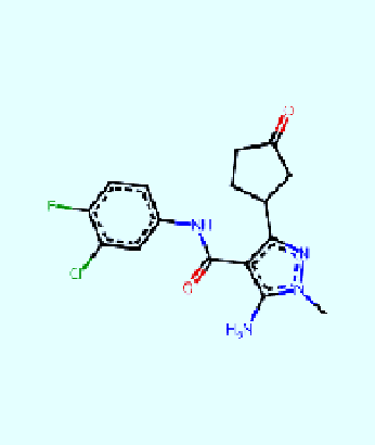 Cn1nc(C2CCC(=O)C2)c(C(=O)Nc2ccc(F)c(Cl)c2)c1N